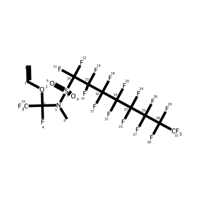 C=COC(F)(N(C)S(=O)(=O)C(F)(F)C(F)(F)C(F)(F)C(F)(F)C(F)(F)C(F)(F)C(F)(F)C(F)(F)F)C(F)(F)F